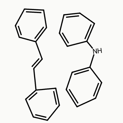 C(=Cc1ccccc1)c1ccccc1.c1ccc(Nc2ccccc2)cc1